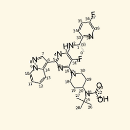 C[C@H](Nc1nc(-c2cnn3ccccc23)nc(N2CCC(N(C(=O)O)C(C)(C)C)CC2)c1F)c1ccc(F)cn1